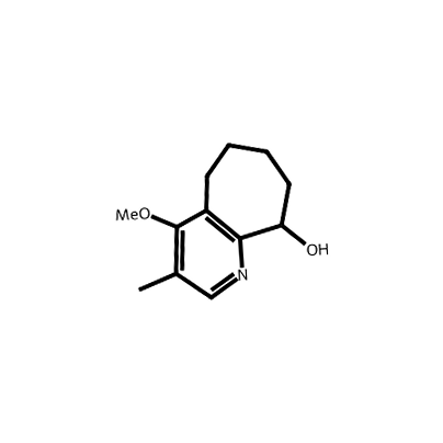 COc1c(C)cnc2c1CCCCC2O